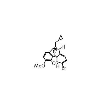 COc1ccc2c3c1O[C@H]1C(Br)=CC=C4[C@@H](C2)N(CC2CC2)CCC431